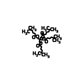 CC(C)CCCC(=O)OCC(COC(=O)CCCC(C)C)(COC(=O)CCCC(C)C)COC(=O)CCCC(C)C